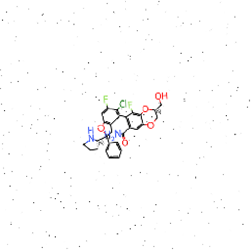 NC(=O)c1cc2c(c(F)c1-c1c(Cl)c(F)cc3c1C[C@](c1ccccc1)([C@@H]1CCCN1)O3)O[C@@H](CO)CO2